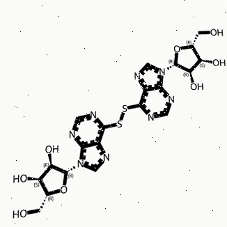 OC[C@H]1O[C@@H](n2cnc3c(SSc4ncnc5c4ncn5[C@@H]4O[C@H](CO)[C@@H](O)[C@H]4O)ncnc32)[C@H](O)[C@@H]1O